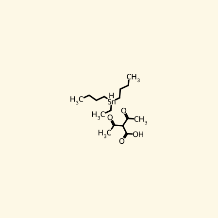 CC(=O)C(C(C)=O)C(=O)O.CCC[CH2][SnH]([CH2]C)[CH2]CCC